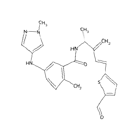 C=C(/C=C/c1ccc(C=O)s1)[C@@H](C)NC(=O)c1cc(Nc2cnn(C)c2)ccc1C